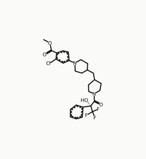 COC(=O)c1ccc(N2CCC(CC3CCN(C(=O)[C@](O)(c4ccccc4)C(F)(F)F)CC3)CC2)cc1Cl